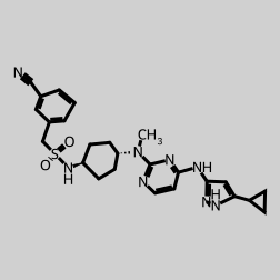 CN(c1nccc(Nc2cc(C3CC3)[nH]n2)n1)[C@H]1CC[C@H](NS(=O)(=O)Cc2cccc(C#N)c2)CC1